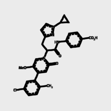 COc1cn(C(Cc2ccn(C3CC3)n2)C(=O)Nc2ccc(C(=O)O)cc2)c(=O)cc1-c1cc(Cl)ccc1C